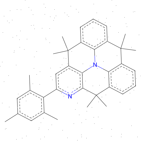 Cc1cc(C)c(-c2cc3c4c(n2)C(C)(C)c2cccc5c2N4c2c(cccc2C3(C)C)C5(C)C)c(C)c1